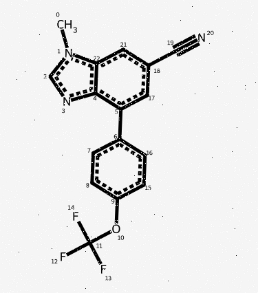 Cn1cnc2c(-c3ccc(OC(F)(F)F)cc3)cc(C#N)cc21